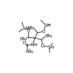 [CH2]CCCC(=O)NC(C(O[SiH](C)C)C(C)(C)C)(C(O[SiH](C)C)C(C)(C)C)C(O[SiH](C)C)C(C)(C)C